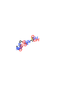 CN(CCNCCc1ccc(O)c2[nH]c(=O)sc12)C(=O)CCOCCc1cccc(CN2CCC3(CC2)CN(C(=O)c2ccn(CC4CC4)n2)CCO3)c1